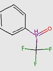 O=[PH](c1ccccc1)C(F)(F)F